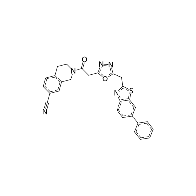 N#Cc1ccc2c(c1)CN(C(=O)Cc1nnc(Cc3nc4ccc(-c5ccccc5)cc4s3)o1)CC2